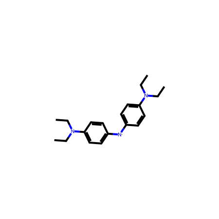 CCN(CC)c1ccc([N]c2ccc(N(CC)CC)cc2)cc1